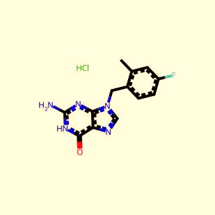 Cc1cc(F)ccc1Cn1cnc2c(=O)[nH]c(N)nc21.Cl